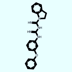 N=C(NC(=N)N1CCc2ccccc21)Nc1cccc(Oc2ccccc2)c1